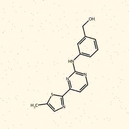 Cc1cnc(-c2ccnc(Nc3cccc(CO)c3)n2)s1